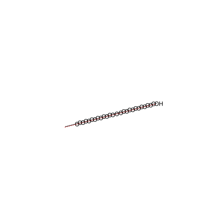 CCCCCCCCCCCCOCCOCCOCCOCCOCCOCCOCCOCCOCCOCCOCCOCCOCCCOCCCOCCOCCOCCOCCOCCOCCOCCOCCOCCOCCOCCOCCO